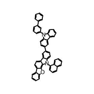 c1ccc(-c2cccc(-n3c4ccccc4c4cc(-c5ccc6c(c5)c5ccc7c8ccccc8oc7c5n6-c5cccc6ccccc56)ccc43)c2)cc1